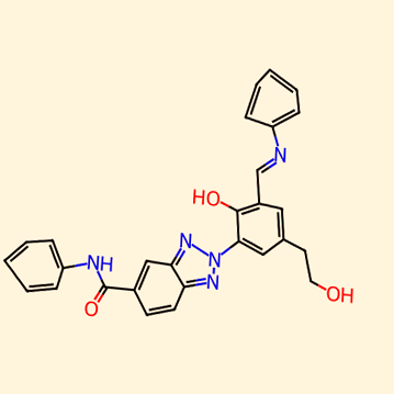 O=C(Nc1ccccc1)c1ccc2nn(-c3cc(CCO)cc(C=Nc4ccccc4)c3O)nc2c1